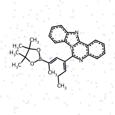 CC/C=C(\C=C(/C)B1OC(C)(C)C(C)(C)O1)c1nc2ccccc2c2nc3ccccc3n12